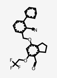 N#Cc1c(COc2cc(OCC(F)(F)F)c(C=O)c3c2CCC3)cccc1-c1ccccc1